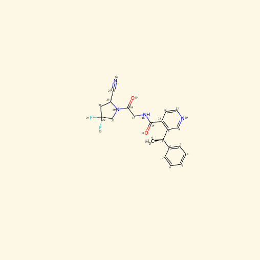 C[C@H](c1ccccc1)c1cnccc1C(=O)NCC(=O)N1CC(F)(F)CC1C#N